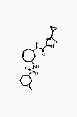 CN1CCC[C@@H](S(=O)(=O)N[C@H]2CC=CC[C@H](NC(=O)c3cc(C4CC4)on3)C2)C1